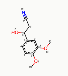 COc1ccc(C(O)CC#N)cc1OC